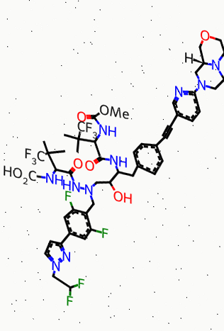 COC(=O)NC(C(=O)NC(Cc1ccc(C#Cc2ccc(N3CCN4CCOC[C@H]4C3)nc2)cc1)C(O)CN(Cc1c(F)cc(-c2ccn(CC(F)F)n2)cc1F)NC(=O)C(NC(=O)O)C(C)(C)C(F)(F)F)C(C)(C)C(F)(F)F